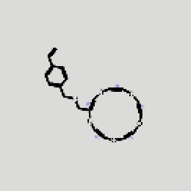 C=Cc1ccc(COC/C2=C/O/C=C\O/C=C\O/C=C\O/C=C\O2)cc1